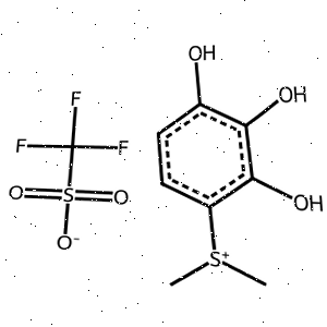 C[S+](C)c1ccc(O)c(O)c1O.O=S(=O)([O-])C(F)(F)F